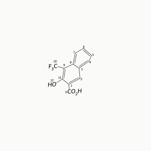 O=C(O)c1cc2ccccc2c(C(F)(F)F)c1O